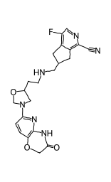 N#Cc1ncc(F)c2c1CC(CNCCC1CN(c3ccc4c(n3)NC(=O)CO4)CO1)C2